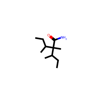 CCC(C)C(C)(C(N)=O)C(C)CC